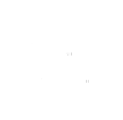 O=C(O)c1cc(=O)n(CF)c(=O)[nH]1